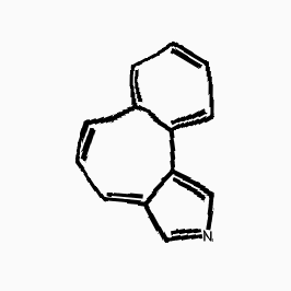 c1ccc2c3cncc-3cccc2c1